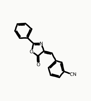 N#Cc1cccc(/C=C2/N=C(c3ccccc3)OC2=O)c1